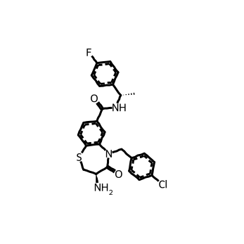 C[C@H](NC(=O)c1ccc2c(c1)N(Cc1ccc(Cl)cc1)C(=O)[C@@H](N)CS2)c1ccc(F)cc1